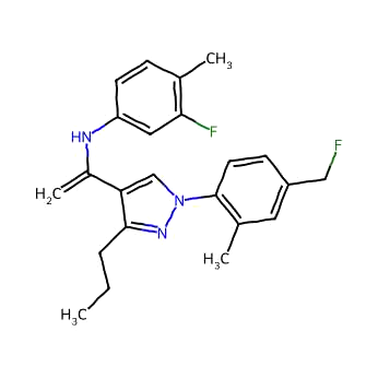 C=C(Nc1ccc(C)c(F)c1)c1cn(-c2ccc(CF)cc2C)nc1CCC